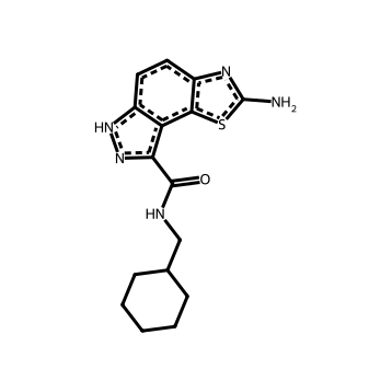 Nc1nc2ccc3[nH]nc(C(=O)NCC4CCCCC4)c3c2s1